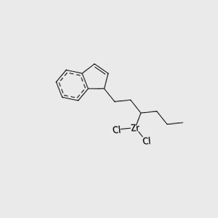 CCC[CH](CCC1C=Cc2ccccc21)[Zr]([Cl])[Cl]